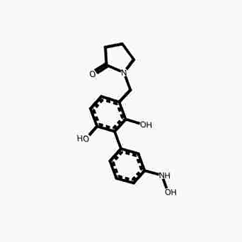 O=C1CCCN1Cc1ccc(O)c(-c2cccc(NO)c2)c1O